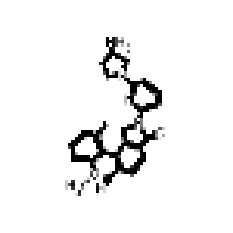 COc1cccc(F)c1-c1c(C#N)ccc2c1CN(c1cccc(N3CCC(N)C3)n1)C2=O